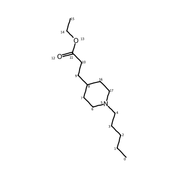 CCCCCN1CCC(CCC(=O)OCC)CC1